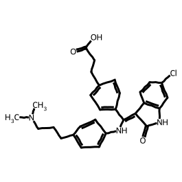 CN(C)CCCc1ccc(N/C(=C2\C(=O)Nc3cc(Cl)ccc32)c2ccc(CCC(=O)O)cc2)cc1